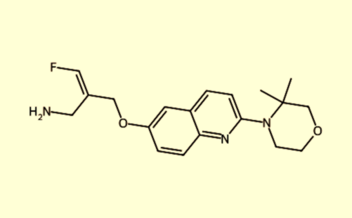 CC1(C)COCCN1c1ccc2cc(OC/C(=C/F)CN)ccc2n1